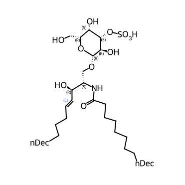 CCCCCCCCCCCCC/C=C/[C@@H](O)[C@H](CO[C@@H]1O[C@H](CO)[C@H](O)[C@H](OS(=O)(=O)O)[C@H]1O)NC(=O)CCCCCCCCCCCCCCCCC